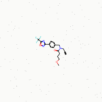 C#CCN(Cc1ccc(-c2noc(C(F)(F)F)n2)cc1)C(=O)CCCOC